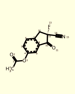 CC(=O)Oc1ccc2c(c1)C(=O)[C@](F)(C#N)C2